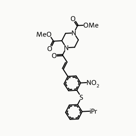 COC(=O)C1CN(C(=O)OC)CCN1C(=O)C=Cc1ccc(Sc2ccccc2C(C)C)c([N+](=O)[O-])c1